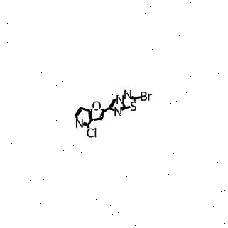 Clc1nccc2oc(-c3cn4nc(Br)sc4n3)cc12